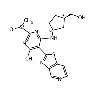 Cc1nc([S+](C)[O-])nc(N[C@H]2CC[C@@H](CO)C2)c1-c1nc2cnccc2s1